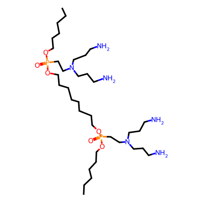 CCCCCCOP(=O)(CCN(CCCN)CCCN)OCCCCCCCCOP(=O)(CCN(CCCN)CCCN)OCCCCCC